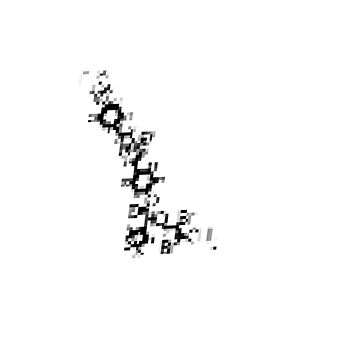 CC(Br)C(Br)CON(C(=O)Oc1ccc(C=CS(=O)(=O)CCc2ccc(OCC(F)(F)F)cc2)cc1)c1ccsc1